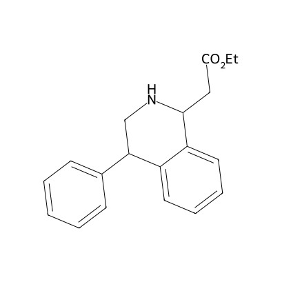 CCOC(=O)CC1NCC(c2ccccc2)c2ccccc21